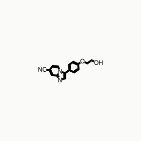 N#Cc1ccn2c(-c3ccc(OCCO)cc3)cnc2c1